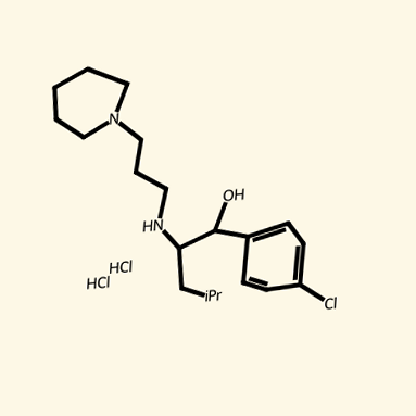 CC(C)CC(NCCCN1CCCCC1)C(O)c1ccc(Cl)cc1.Cl.Cl